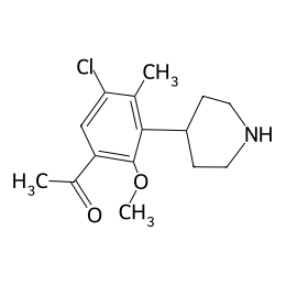 COc1c(C(C)=O)cc(Cl)c(C)c1C1CCNCC1